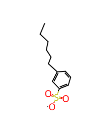 CCCCCCc1cccc(S([O])(=O)=O)c1